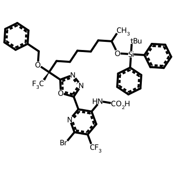 CC(CCCCC[C@@](OCc1ccccc1)(c1nnc(-c2nc(Br)c(C(F)(F)F)cc2NC(=O)O)o1)C(F)(F)F)O[Si](c1ccccc1)(c1ccccc1)C(C)(C)C